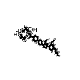 C=C(CO)C(=O)OCC(COC(O)C(=C)CO)C1CCC(C2CCC(c3ccc(-c4ccc(CCCCC)cc4CC)cc3CC)CC2)CC1